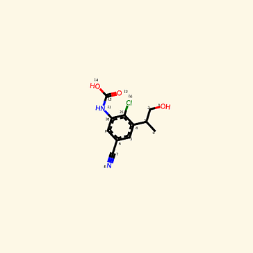 CC(CO)c1cc(C#N)cc(NC(=O)O)c1Cl